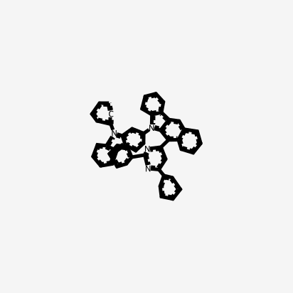 c1ccc(-c2cc(-c3c4ccccc4cc4c5ccccc5n(-c5ccc6c7ccccc7n(-c7ccccc7)c6c5)c34)nc(-c3ccccc3)n2)cc1